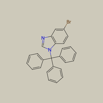 Brc1ccc2c(c1)ncn2C(c1ccccc1)(c1ccccc1)c1ccccc1